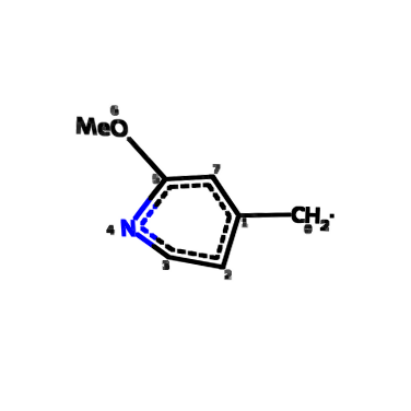 [CH2]c1ccnc(OC)c1